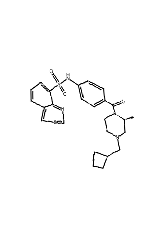 C[C@H]1CN(CC2CCC2)CCN1C(=O)c1ccc(NS(=O)(=O)c2cccc3cccnc23)cc1